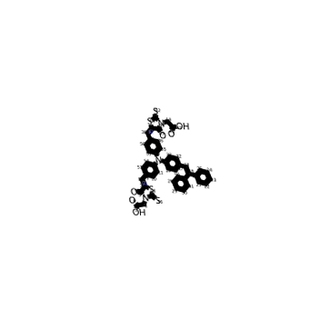 O=C(O)CN1C(=O)/C(=C/c2ccc(N(c3ccc(C=C(c4ccccc4)c4ccccc4)cc3)c3ccc(/C=C4/SC(=S)N(CC(=O)O)C4=O)cc3)cc2)SC1=S